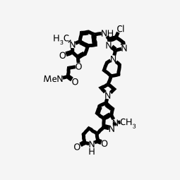 CNC(=O)COc1cc2cc(Nc3nc(N4CCC(C5CN(c6ccc7c(C8CCC(=O)NC8=O)nn(C)c7c6)C5)CC4)ncc3Cl)ccc2n(C)c1=O